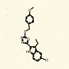 CCc1c(-c2nnc(SCc3ccc(OC)cc3)o2)[nH]c2ccc(Cl)cc12